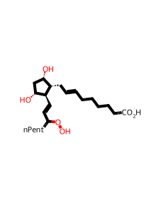 CCCCCC(C=C[C@@H]1[C@@H](CC=CCCCCCC(=O)O)[C@@H](O)C[C@H]1O)OO